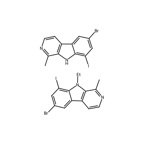 CCn1c2c(I)cc(Br)cc2c2ccnc(C)c21.Cc1nccc2c1[nH]c1c(I)cc(Br)cc12